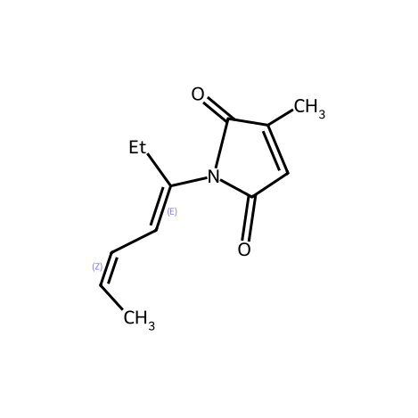 C/C=C\C=C(/CC)N1C(=O)C=C(C)C1=O